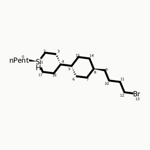 CCCCC[Si@H]1CC[C@H]([C@H]2CC[C@H](CCCCBr)CC2)CC1